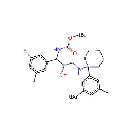 Cc1cc(C(C)(C)C)cc(C2(NC[C@@H](O)C(NC(=O)OC(C)(C)C)c3cc(F)cc(F)c3)CCCCC2)c1